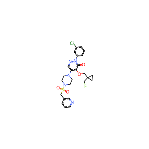 O=c1c(OCC2(CF)CC2)c(N2CCN(S(=O)(=O)Cc3cccnc3)CC2)cnn1-c1cccc(Cl)c1